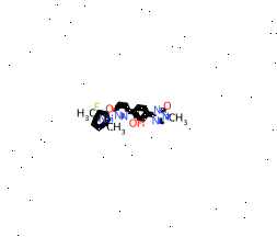 Cn1cnc(-c2ccc(-c3ccc(O[C@@H]4C[C@@]5(C)CC[C@](C)(N5)[C@@H]4F)nn3)c(O)c2)nc1=O